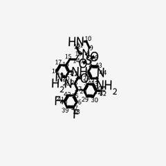 Nc1ccc(S(=O)(=O)N2CCNC[C@@H]2CCc2ccncc2NC(=O)[C@@H](N)[C@@H](c2ccc(F)cc2)c2cc(F)cc(F)c2)cn1